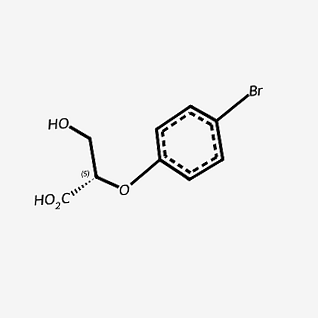 O=C(O)[C@H](CO)Oc1ccc(Br)cc1